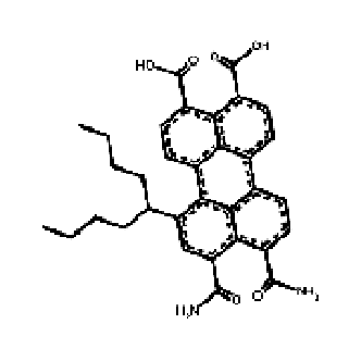 CCCCC(CCCC)c1cc(C(N)=O)c2c(C(N)=O)ccc3c4ccc(C(=O)O)c5c(C(=O)O)ccc(c1c23)c54